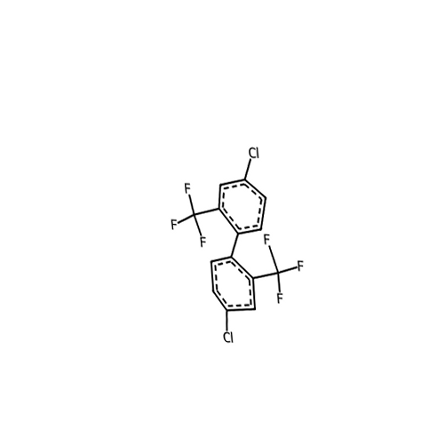 FC(F)(F)c1cc(Cl)ccc1-c1ccc(Cl)cc1C(F)(F)F